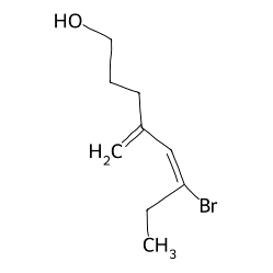 C=C(/C=C(/Br)CC)CCCO